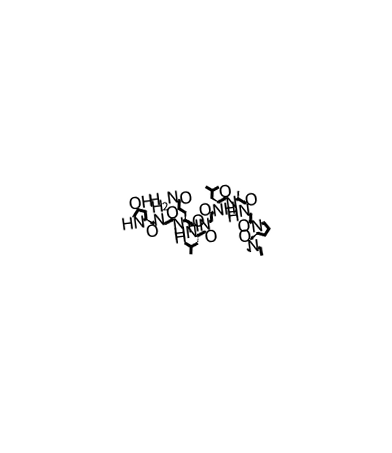 CCN(C)C(=O)[C@@H]1CCCN1C(=O)CNC(=O)[C@H](C)NC(=O)[C@H](CC(C)C)NC(=O)CNC(=O)[C@H](CC(C)C)NC(=O)[C@H](CCC(N)=O)NC(=O)CNC(=O)[C@@H]1C[C@@H](O)CN1